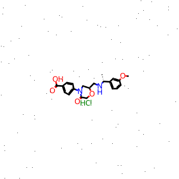 COc1cccc([C@@H](C)NCC2CN(c3ccc(C(=O)O)cc3)C(=O)CO2)c1.Cl